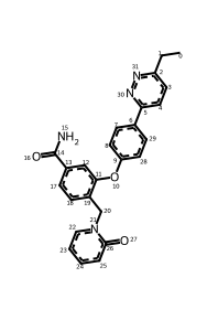 CCc1ccc(-c2ccc(Oc3cc(C(N)=O)ccc3Cn3ccccc3=O)cc2)nn1